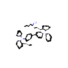 C=CCc1ccccc1N(c1ccccc1)c1ccc(-c2ccc(N(c3ccccc3)c3ccccc3CC=C)cc2)cc1.CCCCCN